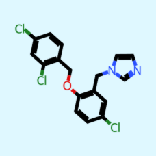 Clc1ccc(COc2ccc(Cl)cc2Cn2ccnc2)c(Cl)c1